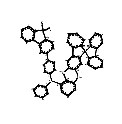 CC1(C)c2ccccc2-c2cc(-c3ccc(N(c4ccccc4)c4cccc5c4Oc4cc6c(cc4O5)C4(c5ccccc5-c5ccccc54)c4ccccc4-6)cc3)ccc21